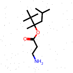 CC(C)CC(C)(OC(=O)CCN)C(C)(C)C